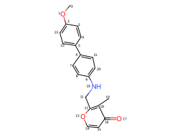 COc1ccc(-c2ccc(NCc3occc(=O)c3C)cc2)cc1